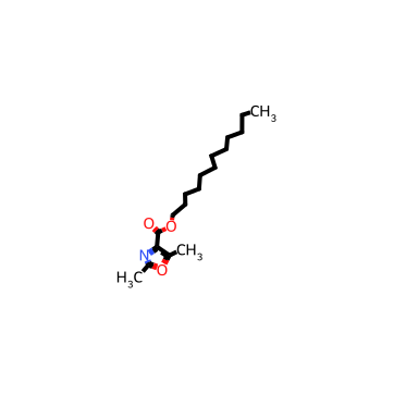 CCCCCCCCCCCCOC(=O)c1nc(C)oc1C